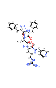 CCCC[C@@H](NC(=O)[C@@H](Cc1ccccc1)NC(=O)[C@H](N)Cc1ccccc1)C(=O)N[C@H](CCCNC(=N)N)C(=O)NCc1ccncc1